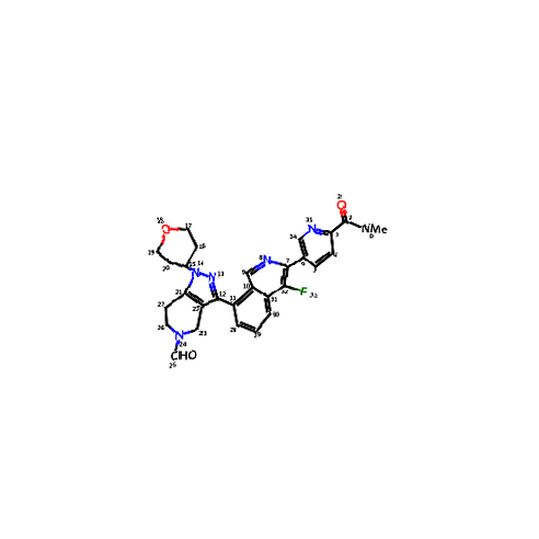 CNC(=O)c1ccc(-c2ncc3c(-c4nn(C5CCOCC5)c5c4CN(C=O)CC5)cccc3c2F)cn1